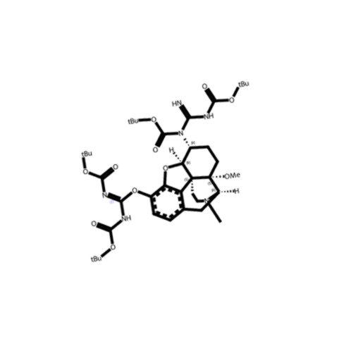 CO[C@@]12CC[C@@H](N(C(=N)NC(=O)OC(C)(C)C)C(=O)OC(C)(C)C)[C@@H]3Oc4c(O/C(=N\C(=O)OC(C)(C)C)NC(=O)OC(C)(C)C)ccc5c4[C@@]31CCN(C)[C@@H]2C5